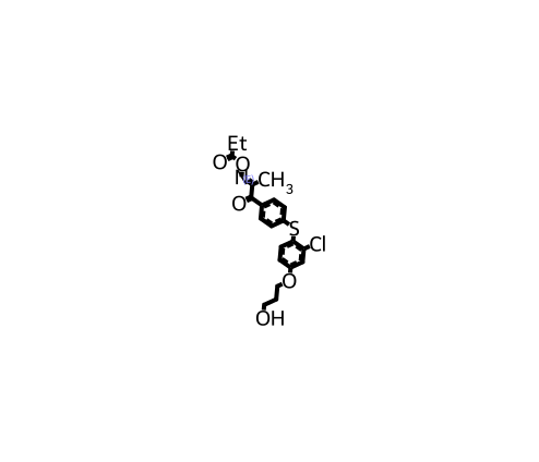 CCC(=O)O/N=C(\C)C(=O)c1ccc(Sc2ccc(OCCCO)cc2Cl)cc1